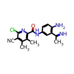 CC(=N)c1cc(NC(=O)c2nc(Cl)c(C#N)c(C)c2C)ccc1N